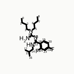 CCCCN(CCCC)C(N)/N=C(\NCC(C)C)c1ccc(F)cc1F